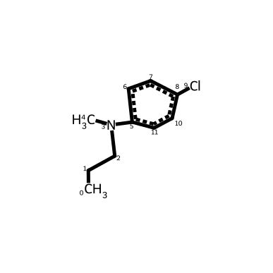 CCCN(C)c1ccc(Cl)cc1